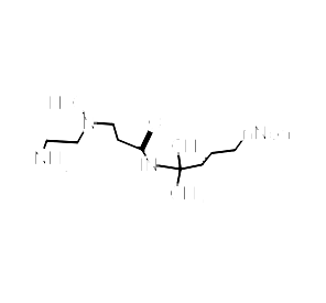 CCCCCCCCCCCCC(C)(C)NC(=O)CCN(C)CCN